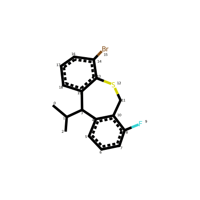 CC(C)C1c2cccc(F)c2CSc2c(Br)cccc21